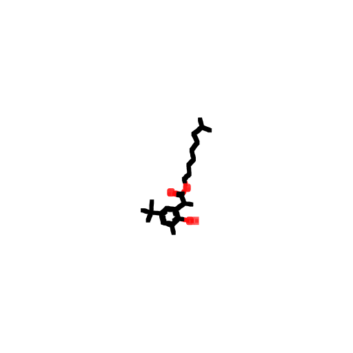 Cc1cc(C(C)(C)C)cc(C(C)C(=O)OCCCCCCCC(C)C)c1O